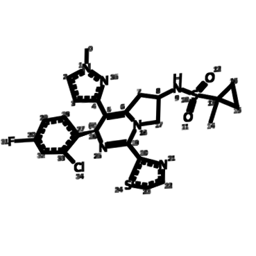 Cn1ccc(C2=C3CC(NS(=O)(=O)C4(C)CC4)CN3C(c3nccs3)=N[C@H]2c2ccc(F)cc2Cl)n1